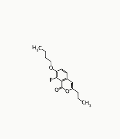 CCCCOc1ccc2cc(CCC)oc(=O)c2c1F